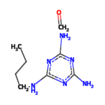 C=O.Nc1nc(N)nc(N)n1.[CH2]CCC